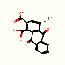 O=C([O-])c1ccc2c(c1C(=O)[O-])C(=O)c1ccccc1C2=O.[Li+].[Li+]